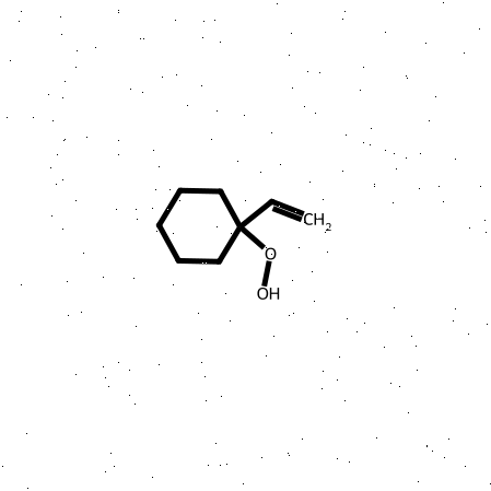 C=CC1(OO)CCCCC1